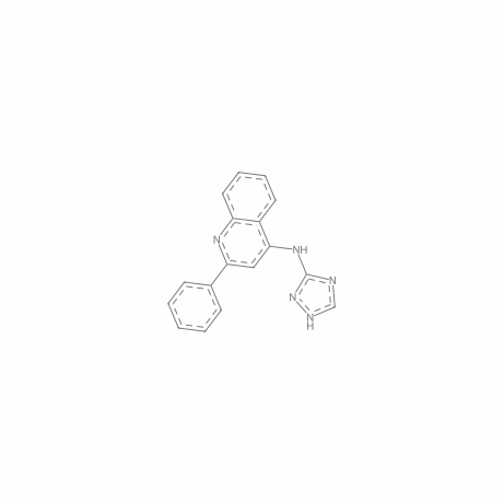 c1ccc(-c2cc(Nc3nc[nH]n3)c3ccccc3n2)cc1